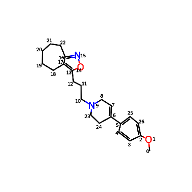 COc1ccc(C2=CCN(CCCc3onc4c3CCCCC4)CC2)cc1